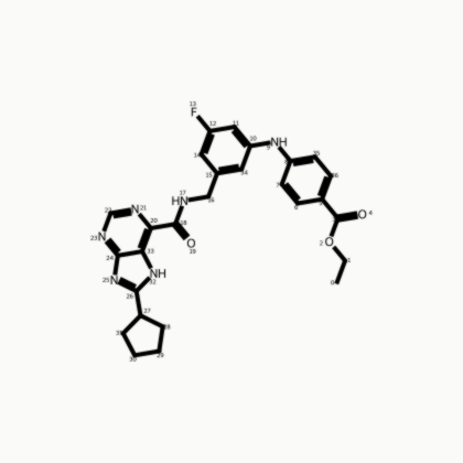 CCOC(=O)c1ccc(Nc2cc(F)cc(CNC(=O)c3ncnc4nc(C5CCCC5)[nH]c34)c2)cc1